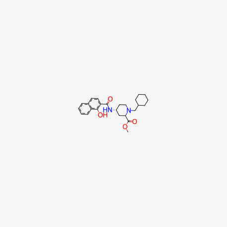 COC(=O)C1C[C@H](NC(=O)c2ccc3ccccc3c2O)CCN1CC1CCCCC1